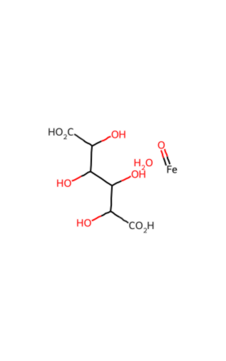 O.O=C(O)C(O)C(O)C(O)C(O)C(=O)O.[O]=[Fe]